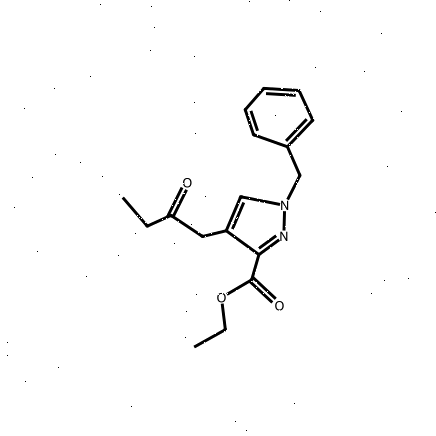 CCOC(=O)c1nn(Cc2ccccc2)cc1CC(=O)CC